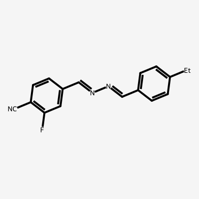 CCc1ccc(/C=N/N=C/c2ccc(C#N)c(F)c2)cc1